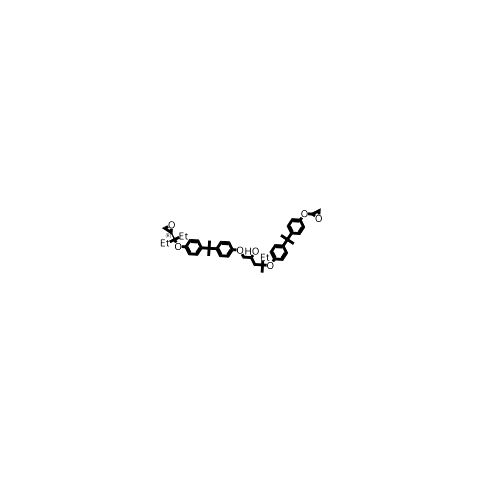 CCC(C)(CC(O)COc1ccc(C(C)(C)c2ccc(OC(CC)(CC)[C@H]3CO3)cc2)cc1)Oc1ccc(C(C)(C)c2ccc(OC3CO3)cc2)cc1